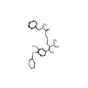 Cc1nc(/C(N)=C(\CCCC(=O)N(C)Cc2ccccc2)N(C)N)ccc1OC1CCCCC1